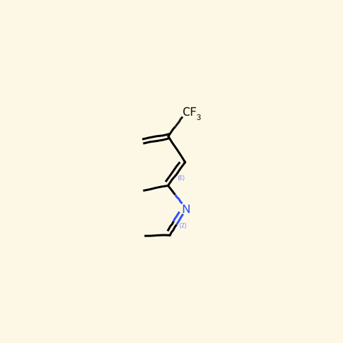 C=C(/C=C(C)/N=C\C)C(F)(F)F